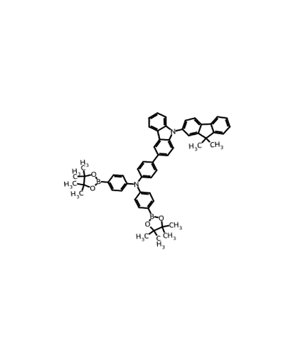 CC1(C)c2ccccc2-c2ccc(-n3c4ccccc4c4cc(-c5ccc(N(c6ccc(B7OC(C)(C)C(C)(C)O7)cc6)c6ccc(B7OC(C)(C)C(C)(C)O7)cc6)cc5)ccc43)cc21